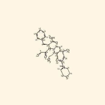 Cc1c(N(C(=O)C=O)[C@@H](Cc2ccccc2)C(=O)O)ccc2c(=O)cc(N3CCOCC3)oc12